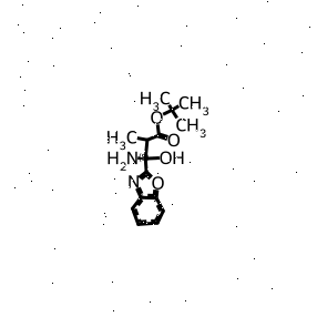 CC(C(=O)OC(C)(C)C)[C@](N)(O)c1nc2ccccc2o1